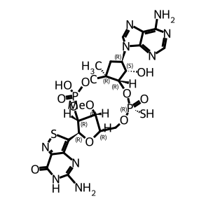 CO[C@H]1[C@H]2OP(=O)(O)OC[C@@]3(C)C[C@@H](n4cnc5c(N)ncnc54)[C@H](O)[C@@H]3O[P@](=O)(S)OC[C@H]1O[C@H]2c1snc2c(=O)[nH]c(N)nc12